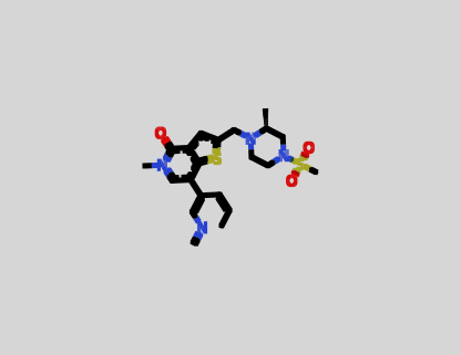 C=N/C=C(\C=C/C)c1cn(C)c(=O)c2cc(CN3CCN(S(C)(=O)=O)C[C@@H]3C)sc12